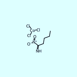 CCCCC(=N)[N+](=O)[O-].[Cl][Co]([Cl])[Cl]